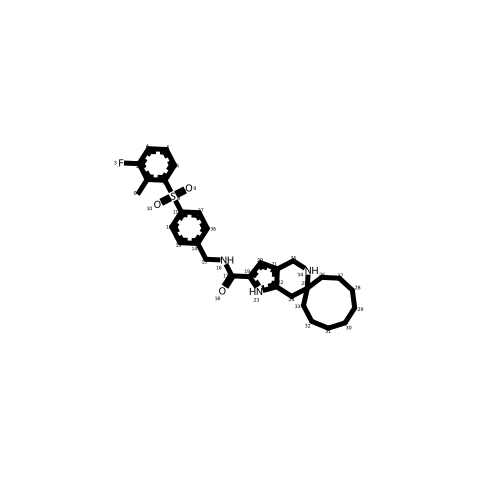 Cc1c(F)cccc1S(=O)(=O)c1ccc(CNC(=O)c2cc3c([nH]2)CC2(CCCCCCCC2)NC3)cc1